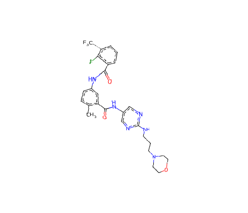 Cc1ccc(NC(=O)c2cccc(C(F)(F)F)c2F)cc1C(=O)Nc1cnc(NCCCN2CCOCC2)nc1